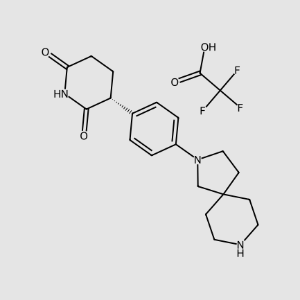 O=C(O)C(F)(F)F.O=C1CC[C@H](c2ccc(N3CCC4(CCNCC4)C3)cc2)C(=O)N1